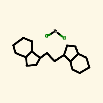 [CH]1[CH][C](CC[C]2[CH][CH][C]3CCCC[C]32)[C]2CCCC[C]12.[Cl][Zr][Cl]